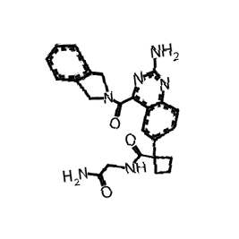 NC(=O)CNC(=O)C1(c2ccc3nc(N)nc(C(=O)N4Cc5ccccc5C4)c3c2)CCC1